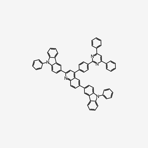 c1ccc(-c2cc(-c3ccccc3)nc(-c3ccc(-c4cc(-c5ccc6c(c5)c5ccccc5n6-c5ccccc5)nc5ccc(-c6ccc7c(c6)c6ccccc6n7-c6ccccc6)cc45)cc3)n2)cc1